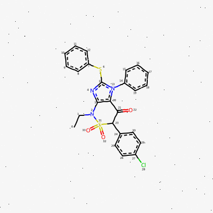 CCN1c2nc(Sc3ccccc3)n(-c3ccccc3)c2C(=O)C(c2ccc(Cl)cc2)S1(=O)=O